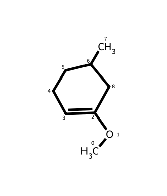 COC1=CCCC(C)C1